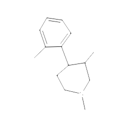 Cc1ccccc1C1CCN(C)CC1C